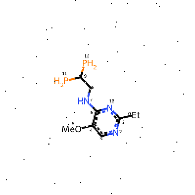 CCc1ncc(OC)c(NCC(P)P)n1